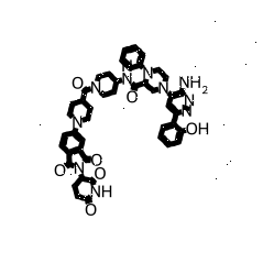 Nc1nnc(-c2ccccc2O)cc1N1CCN(c2ccccc2)C(C(=O)NC2CCN(C(=O)C3CCN(c4ccc5c(c4)C(=O)N(C4CCC(=O)NC4=O)C5=O)CC3)CC2)C1